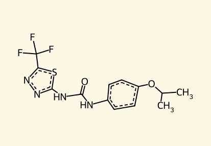 CC(C)Oc1ccc(NC(=O)Nc2nnc(C(F)(F)F)s2)cc1